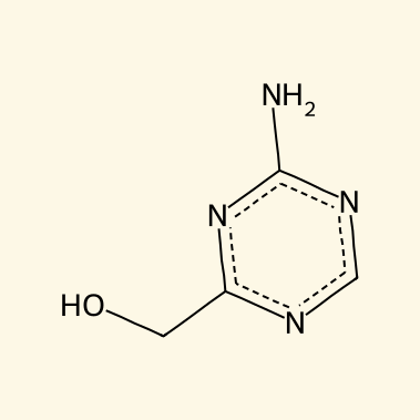 Nc1ncnc(CO)n1